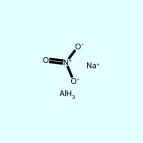 O=[N+]([O-])[O-].[AlH3].[Na+]